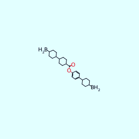 BC1CCC(c2ccc(OC(=O)C3CCC(C4CCC(B)CC4)CC3)cc2)CC1